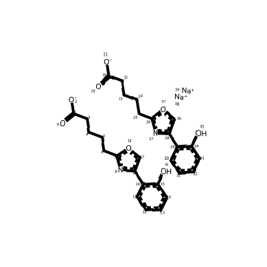 O=C([O-])CCCCc1nc(-c2ccccc2O)co1.O=C([O-])CCCCc1nc(-c2ccccc2O)co1.[Na+].[Na+]